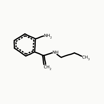 C=C(NCCC)c1ccccc1N